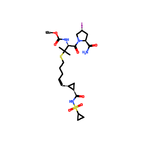 CC(C)(C)OC(=O)N[C@H](C(=O)N1C[C@H](I)C[C@H]1C(N)=O)C(C)(C)SCCC/C=C\[C@@H]1C[C@@H]1C(=O)NS(=O)(=O)C1CC1